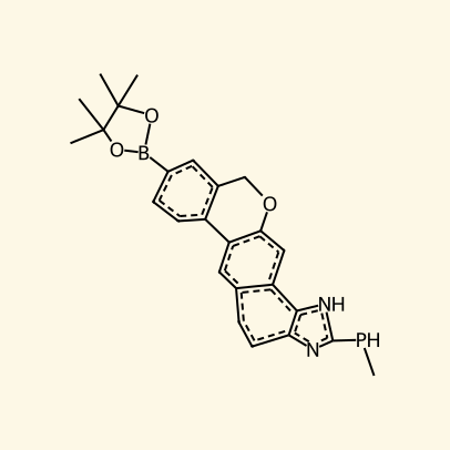 CPc1nc2ccc3cc4c(cc3c2[nH]1)OCc1cc(B2OC(C)(C)C(C)(C)O2)ccc1-4